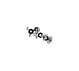 CS(=O)(=O)c1cnc(N2CC[C@@H](C(=O)N3OCCC3c3cc(F)cc(F)c3)[C@@H](F)C2)nc1